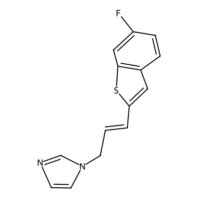 Fc1ccc2cc(C=CCn3ccnc3)sc2c1